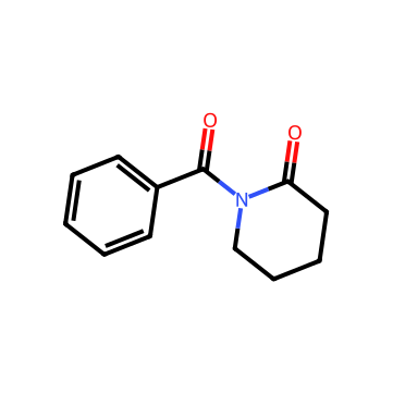 O=C1CCCCN1C(=O)c1ccccc1